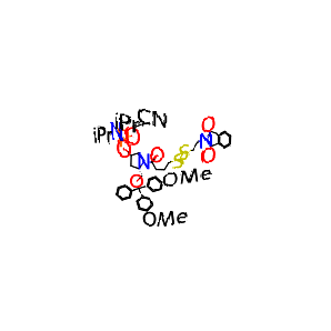 COc1ccc(C(OC[C@@H]2C[C@@H](OP(OCCC#N)N(C(C)C)C(C)C)CN2C(=O)CCCSSCCN2C(=O)c3ccccc3C2=O)(c2ccccc2)c2ccc(OC)cc2)cc1